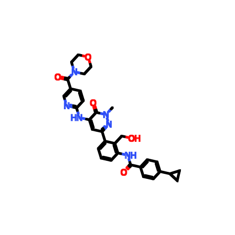 Cn1nc(-c2cccc(NC(=O)c3ccc(C4CC4)cc3)c2CO)cc(Nc2ccc(C(=O)N3CCOCC3)cn2)c1=O